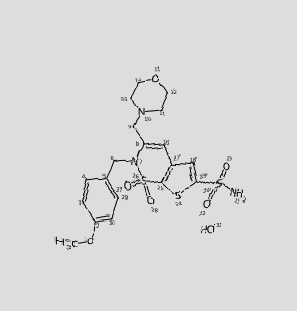 COc1ccc(CN2C(CN3CCOCC3)=Cc3cc(S(N)(=O)=O)sc3S2(=O)=O)cc1.Cl